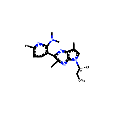 CC[C@H](COC)n1cc(C)c2nc(-c3ccc(C(C)C)nc3N(C)C)c(C)nc21